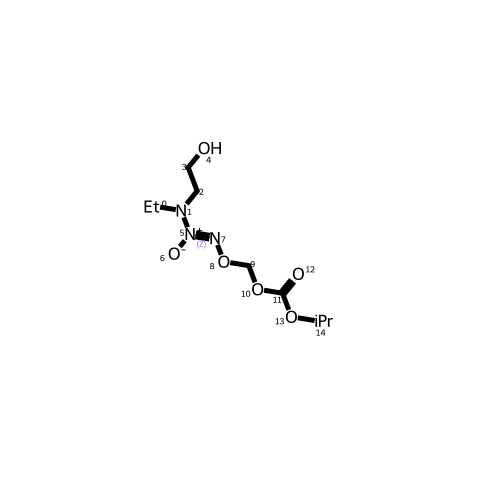 CCN(CCO)/[N+]([O-])=N/OCOC(=O)OC(C)C